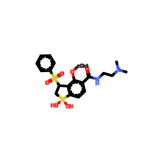 CCCCCCCCOc1c(C(=O)NCCN(C)C)ccc2c1C(S(=O)(=O)c1ccccc1)CS2(O)O